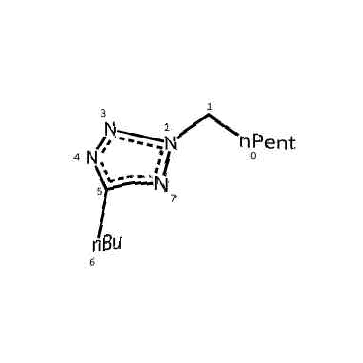 CCCCCCn1nnc(CCCC)n1